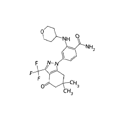 CC1(C)CC(=O)c2c(C(F)(F)F)nn(-c3ccc(C(N)=O)c(NC4CCOCC4)c3)c2C1